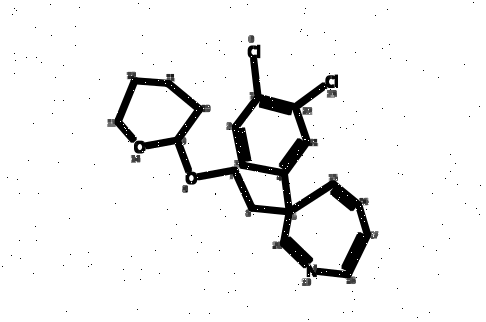 Clc1ccc(C2(CCOC3CCCCO3)C=CC=CN=C2)cc1Cl